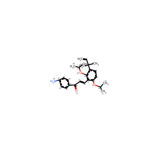 C=CC(C)(C)c1ccc(OC(C)C)c(C=CC(=O)c2ccc(N)cc2)c1OC(C)C